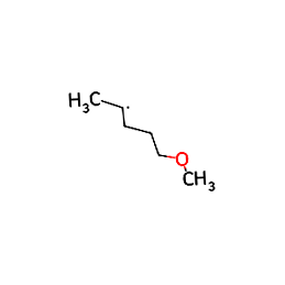 C[CH]CCCOC